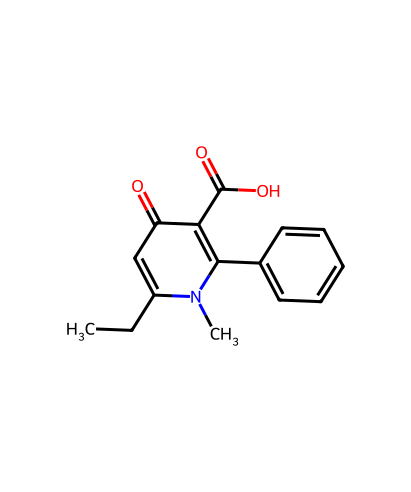 CCc1cc(=O)c(C(=O)O)c(-c2ccccc2)n1C